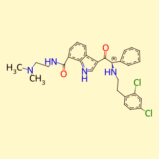 CN(C)CCNC(=O)c1cccc2c(C(=O)[C@H](NCCc3ccc(Cl)cc3Cl)c3ccccc3)c[nH]c12